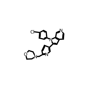 Clc1ccc(-n2c(-c3ccc(CN4CCOCC4)nc3)cc3ccncc32)cc1